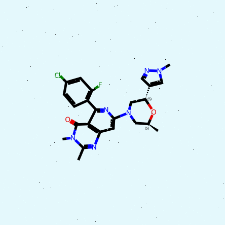 Cc1nc2cc(N3C[C@H](C)O[C@@H](c4cnn(C)c4)C3)nc(-c3ccc(Cl)cc3F)c2c(=O)n1C